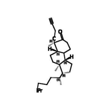 C#CCC[C@@]1(C)C(=O)CCC2[C@@H]3CC[C@H]([C@H](C)CCCC(C)C)[C@@]3(C)CC[C@@H]21